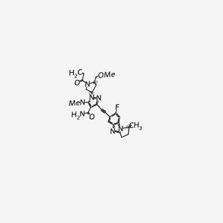 C=CC(=O)N1C[C@@H](n2nc(C#Cc3cc4nc5n(c4cc3F)[C@@H](C)CC5)c(C(N)=O)c2NC)C[C@@H]1COC